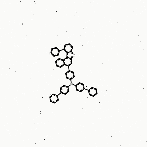 c1ccc(-c2ccc(N(c3ccc(-c4ccccc4)cc3)c3ccc(-c4cc5oc6cccc(-c7ccncc7)c6c5c5ccccc45)cc3)cc2)cc1